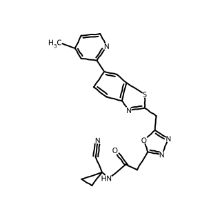 Cc1ccnc(-c2ccc3nc(Cc4nnc(CC(=O)NC5(C#N)CC5)o4)sc3c2)c1